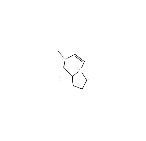 CN1C=CN2CCCC2C1.F